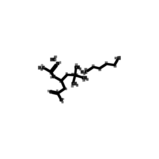 CC(=O)OC(CC(=O)[O-])C[N+](C)(C)C.CCCCCCl.Cl